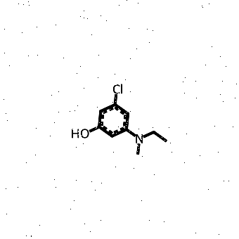 CCN(C)c1cc(O)cc(Cl)c1